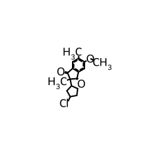 COc1cc2c(cc1C)C(=O)C(C)(C1CCC(Cl)C1)C2=O